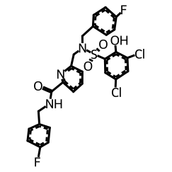 O=C(NCc1ccc(F)cc1)c1cccc(CN(Cc2ccc(F)cc2)S(=O)(=O)c2cc(Cl)cc(Cl)c2O)n1